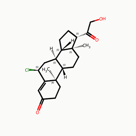 C[C@]12CC[C@H]3[C@@H](C[C@H](Cl)C4=CC(=O)CC[C@@]43C)[C@@H]1CC[C@@H]2C(=O)CO